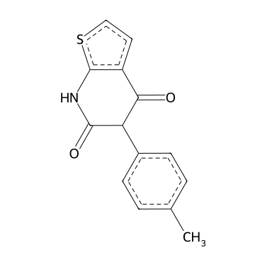 Cc1ccc(C2C(=O)Nc3sccc3C2=O)cc1